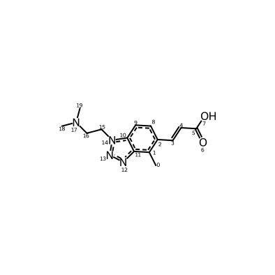 Cc1c(/C=C/C(=O)O)ccc2c1nnn2CCN(C)C